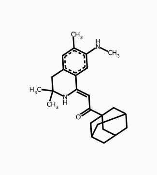 CNc1cc2c(cc1C)CC(C)(C)NC2=CC(=O)C12CC3CC(CC(C3)C1)C2